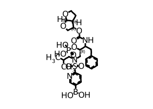 CC(C)CN(C[C@@H](OP(=O)(O)O)C(Cc1ccccc1)NC(=O)O[C@H]1CO[C@H]2OCC[C@H]21)S(=O)(=O)c1ccc(B(O)O)cn1